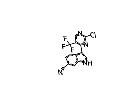 N#Cc1ccc2c(-c3nc(Cl)ncc3C(F)(F)F)c[nH]c2c1